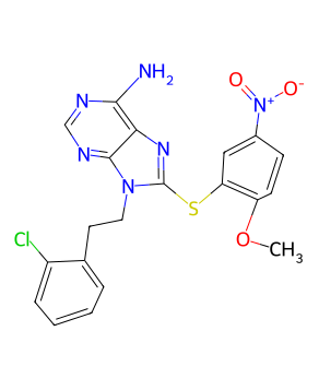 COc1ccc([N+](=O)[O-])cc1Sc1nc2c(N)ncnc2n1CCc1ccccc1Cl